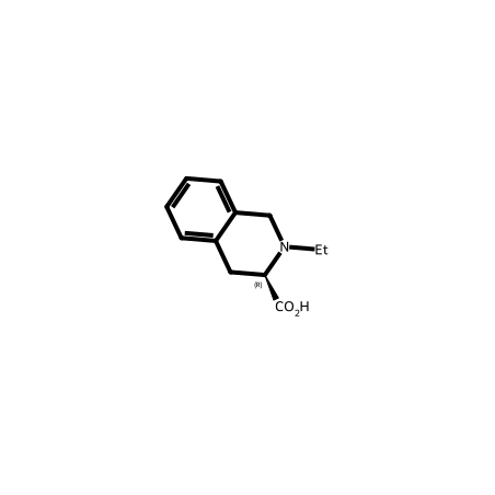 CCN1Cc2ccccc2C[C@@H]1C(=O)O